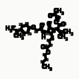 CCCCOC(=O)CCSC1C(NC(=O)COc2ccc(C(C)C)cc2)C(=O)N1C(C(=O)OOC(C)=O)=C(C)C